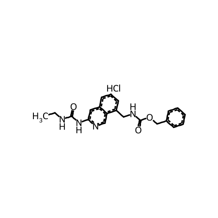 CCNC(=O)Nc1cc2cccc(CNC(=O)OCc3ccccc3)c2cn1.Cl